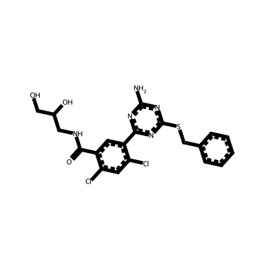 Nc1nc(SCc2ccccc2)nc(-c2cc(C(=O)NCC(O)CO)c(Cl)cc2Cl)n1